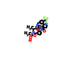 C[C@H]1CN([C@@H](C)CO)C(=O)c2cccc(NC(=O)c3ccncc3)c2O[C@@H]1CN(C)Cc1ccc(C(F)(F)F)cc1